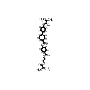 C=C(C)C(=O)OCCOC(=O)c1ccc(OC(=O)C2=CCC=C(c3ccc(OC(=O)C(=C)C)cc3)C=C2)cc1